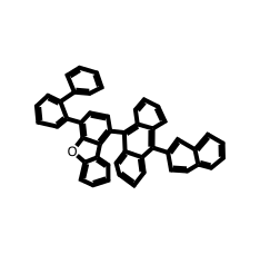 c1ccc(-c2ccccc2-c2ccc(-c3c4ccccc4c(-c4ccc5ccccc5c4)c4ccccc34)c3c2oc2ccccc23)cc1